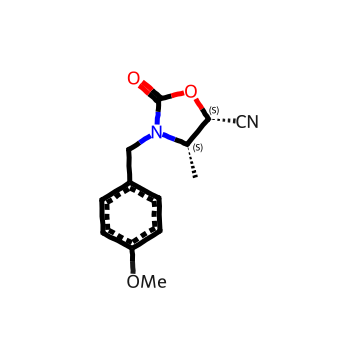 COc1ccc(CN2C(=O)O[C@H](C#N)[C@@H]2C)cc1